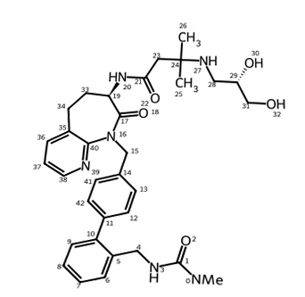 CNC(=O)NCc1ccccc1-c1ccc(CN2C(=O)[C@H](NC(=O)CC(C)(C)NC[C@H](O)CO)CCc3cccnc32)cc1